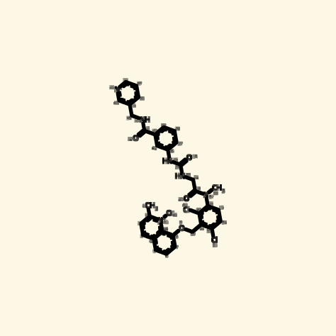 Cc1ccc2cccc(OCc3c(Cl)ccc(N(C)C(=O)CNC(=O)Nc4cccc(C(=O)NCc5cccnc5)c4)c3Cl)c2[n+]1[O-]